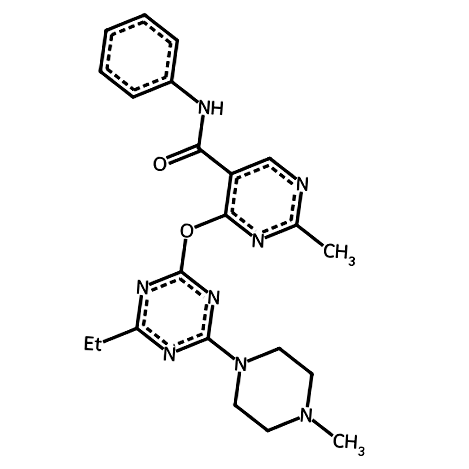 CCc1nc(Oc2nc(C)ncc2C(=O)Nc2ccccc2)nc(N2CCN(C)CC2)n1